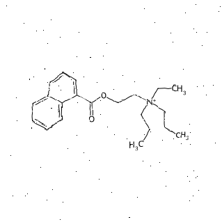 CCC[N+](CC)(CCC)CCOC(=O)c1cccc2ccccc12